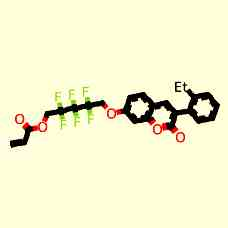 C=CC(=O)OCC(F)(F)C(F)(F)C(F)(F)COc1ccc2cc(-c3ccccc3CC)c(=O)oc2c1